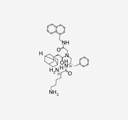 NCCCC[C@H](N)C(=O)N[C@@H](Cc1ccccc1)CN(CC(=O)NCc1cccc2ccccc12)C(=O)C[C@]12CC3C[C@H](C[C@H](C3)C1)C2